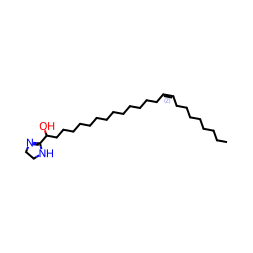 CCCCCCCC/C=C\CCCCCCCCCCCCCC(O)C1=NCCN1